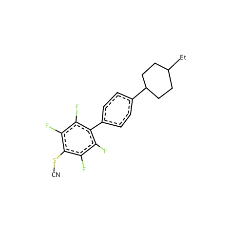 CCC1CCC(c2ccc(-c3c(F)c(F)c(SC#N)c(F)c3F)cc2)CC1